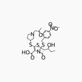 CC[C@H](O)[C@@H]1C(=O)N2C(C(=O)O)=C(SC3CCN(CC(C)=O)C3)S[C@]12SCc1ccc([N+](=O)[O-])cc1